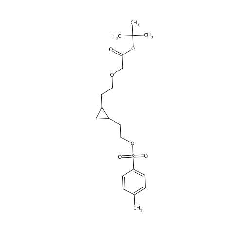 Cc1ccc(S(=O)(=O)OCCC2CC2CCOCC(=O)OC(C)(C)C)cc1